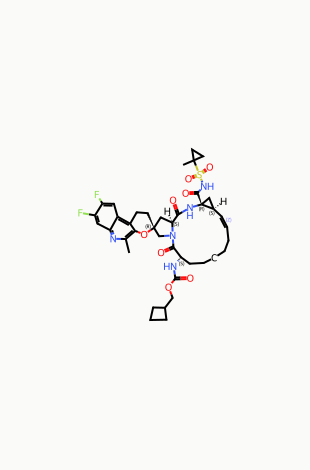 Cc1nc2cc(F)c(F)cc2c2c1O[C@]1(CC2)C[C@H]2C(=O)N[C@]3(C(=O)NS(=O)(=O)C4(C)CC4)C[C@H]3/C=C\CCCCC[C@H](NC(=O)OCC3CCC3)C(=O)N2C1